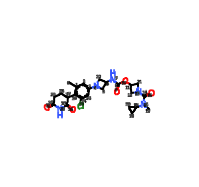 Cc1cc(N2CC(NC(=O)OC3CN(C(=O)N(C)C4CC4)C3)C2)cc(Cl)c1C1CCC(=O)NC1=O